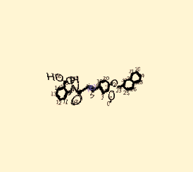 COC1C=C(/C=C/C(=O)Nc2ccccc2C(=O)O)C=CC1OCc1ccc2ccccc2c1